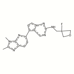 Cc1nc2ccc(-c3ccn4nc(NCC5(F)COC5)ncc34)nc2n1C